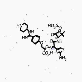 CC1(C)[C@H](NC(=O)/C(=N\O[C@@H](COc2ccc(C(=N)NC3CCNCC3)cc2)C(=O)O)c2csc(N)n2)C(=O)N1OS(=O)(=O)O